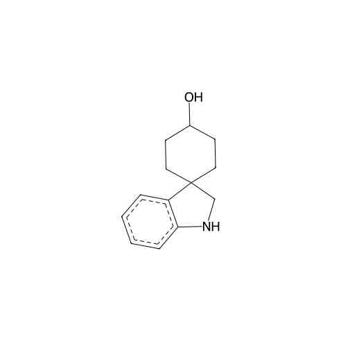 OC1CCC2(CC1)CNc1ccccc12